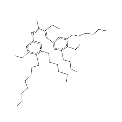 CCCCCCCCc1c(CC)cc(N=C(C)C(=Cc2cc(CCCC)c(CC)c(CCCCCC)c2)CC)cc1CCCCCC